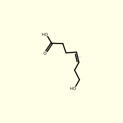 O=C(O)CC/C=C\CCO